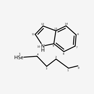 CCCCC[SeH].c1ccc2[nH]ccc2c1